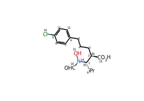 CC(C)[C@@H]([C@@H](CCCc1ccc(Cl)cc1)C(=O)O)N(O)C=O